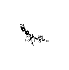 CCc1ccc(-c2ccc(C(=O)N[C@H](C(=O)NCCN(O)C(=O)NCCO)[C@@H](C)O)cc2)cc1